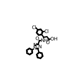 O=C(O)CC(NC(=O)c1nc(-c2ccccc2)n(-c2ccccc2)n1)c1ccc(Cl)cc1Cl